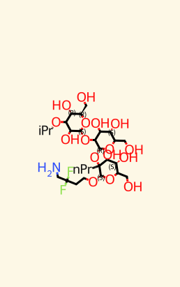 CCCC1(O[C@H]2OC(CO)[C@@H](O)C(O)C2O[C@@H]2O[C@H](CO)[C@@H](O)C(OC(C)C)C2O)C(O)[C@H](O)C(CO)O[C@@H]1OCCC(F)(F)CN